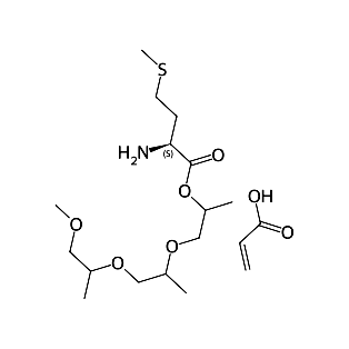 C=CC(=O)O.COCC(C)OCC(C)OCC(C)OC(=O)[C@@H](N)CCSC